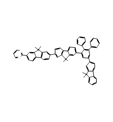 CC1(C)c2ccccc2-c2ccc(-c3cc(-c4ccccc4)c(-c4ccccc4)c(-c4ccc5c(c4)C(C)(C)c4cc(-c6ccc7c(c6)C(C)(C)c6cc(-c8ncccn8)ccc6-7)ccc4-5)c3)cc21